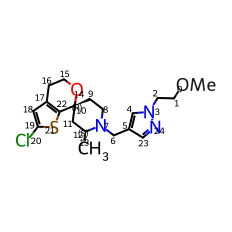 COCCn1cc(CN2CC[C@]3(C[C@@H]2C)OCCc2cc(Cl)sc23)cn1